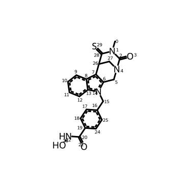 CN1C(=O)N2Cc3c(c4ccccc4n3Cc3ccc(C(=O)NO)cc3)C(C2)C1=S